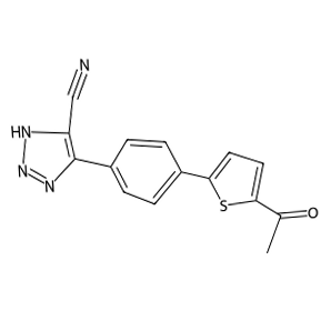 CC(=O)c1ccc(-c2ccc(-c3nn[nH]c3C#N)cc2)s1